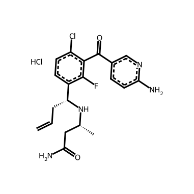 C=CC[C@@H](N[C@H](C)CC(N)=O)c1ccc(Cl)c(C(=O)c2ccc(N)nc2)c1F.Cl